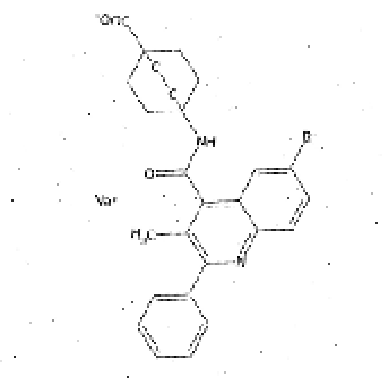 Cc1c(-c2ccccc2)nc2ccc(Br)cc2c1C(=O)NC12CCC(C(=O)[O-])(CC1)CC2.[Na+]